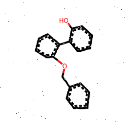 Oc1ccccc1-c1ccccc1OCc1ccccc1